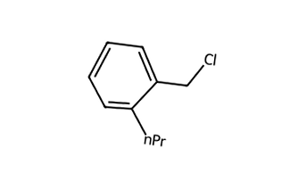 CCCc1ccccc1CCl